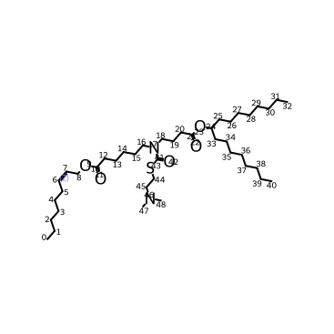 CCCCCC/C=C\COC(=O)CCCCCN(CCCC(=O)OC(CCCCCCCC)CCCCCCCC)C(=O)SCCN(C)C